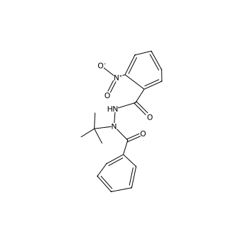 CC(C)(C)N(NC(=O)c1ccccc1[N+](=O)[O-])C(=O)c1ccccc1